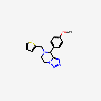 CC(C)Oc1ccc(C2c3nnnn3CCN2Cc2cccs2)cc1